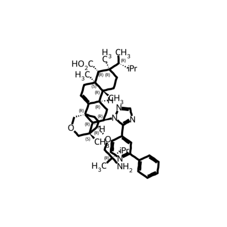 CC(C)[C@@H](C)[C@@]1(C)CC[C@]2(C)[C@H]3CC[C@@H]4[C@@]5(COC[C@@]4(C)[C@@H](OC[C@](C)(N)C(C)C)[C@H](n4ncnc4-c4ccnc(-c6ccccc6)c4)C5)C3=CC[C@@]2(C)[C@@H]1C(=O)O